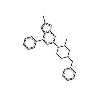 Cc1cc2c(-c3ccccc3)nc(N3CCN(Cc4ccccc4)CC3C)nc2s1